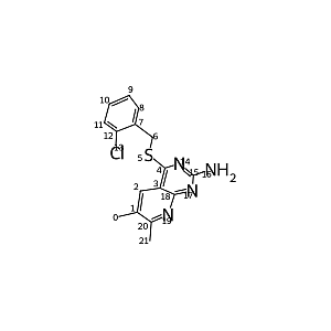 Cc1cc2c(SCc3ccccc3Cl)nc(N)nc2nc1C